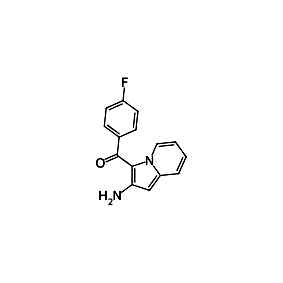 Nc1cc2ccccn2c1C(=O)c1ccc(F)cc1